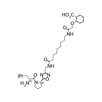 CC(C)C[C@@H](N)C(=O)N1CCC[C@@H]1c1nc(CNC(=O)CCCCCCCCNC(=O)COc2ccccc2C(=O)O)no1